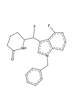 O=C1CCCC(C(F)c2cn(Cc3ccccc3)c3cccc(F)c23)N1